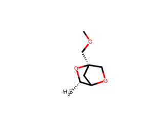 B[C@@H]1O[C@@]2(COC)COC1C2